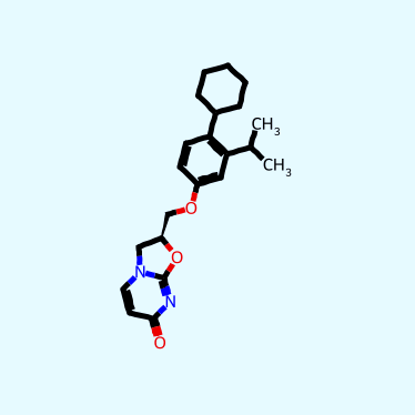 CC(C)c1cc(OC[C@@H]2Cn3ccc(=O)nc3O2)ccc1C1CCCCC1